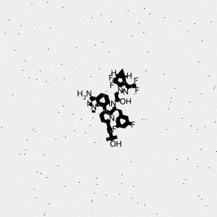 Cn1nc(N)c2cccc(-c3ccc(C#CC(C)(C)O)nc3[C@H](Cc3cc(F)cc(F)c3)NC(O)Cn3nc(C(F)F)c4c3C(F)(F)[C@@H]3C[C@H]43)c21